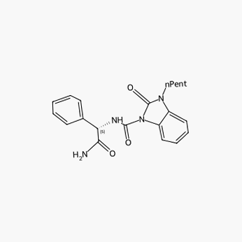 CCCCCn1c(=O)n(C(=O)N[C@H](C(N)=O)c2ccccc2)c2ccccc21